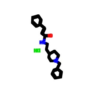 Cl.O=C(/C=C/c1ccccc1)NCCC1CCN(Cc2ccccc2)CC1